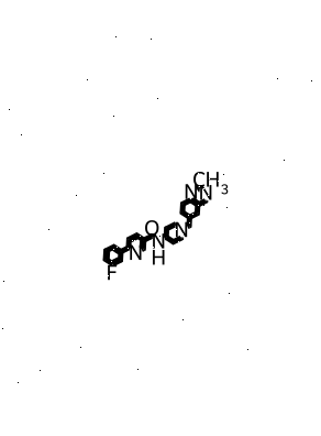 Cc1ncc2c(n1)CCC(CN1CCC(NC(=O)c3ccc(-c4cccc(F)c4)nc3)CC1)C2